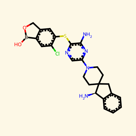 Nc1nc(N2CCC3(CC2)Cc2ccccc2[C@H]3N)cnc1Sc1cc2c(cc1Cl)B(O)OC2